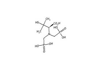 CC(C)(S)[C@@H](C(=O)O)N(CP(=O)(O)O)CP(=O)(O)O